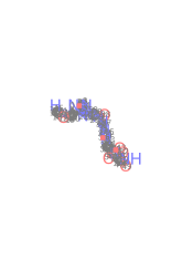 Nc1ccnc2c1c(-c1ccc(Oc3ccccc3)cc1)nn2C1CCN(C(=O)N2CC(N3CCN(c4ccc5c(c4)C(=O)N([C@H]4CCC(=O)NC4=O)C5=O)CC3)C2)CC1